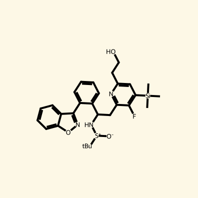 CC(C)(C)[S+]([O-])NC(Cc1nc(CCO)cc([Si](C)(C)C)c1F)c1ccccc1-c1noc2ccccc12